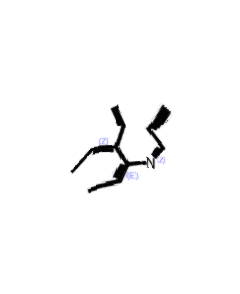 C=C\C=N/C(=C/C)C(/C=C)=C\C